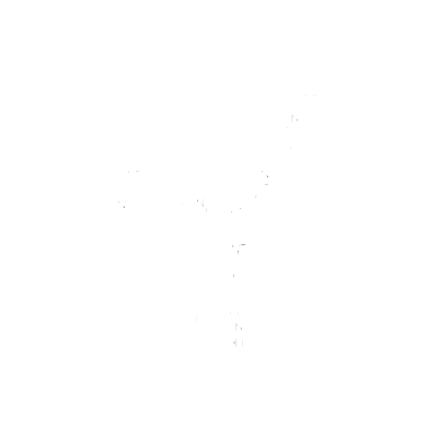 CC(COCCC(=O)NCCOCCOCCOC1OC(CO)CC(O)C1N)(COCCC(=O)NCCOCCOCCOC1OC(CO)CC(O)C1N)COCCC(=O)NCCOCCOCCOC1OC(CO)C(O)C(O)C1N